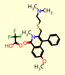 COc1ccc2c(=O)n(C)c(CSCCN(C)C)c(-c3ccccc3)c2c1.O=C(O)C(F)(F)F